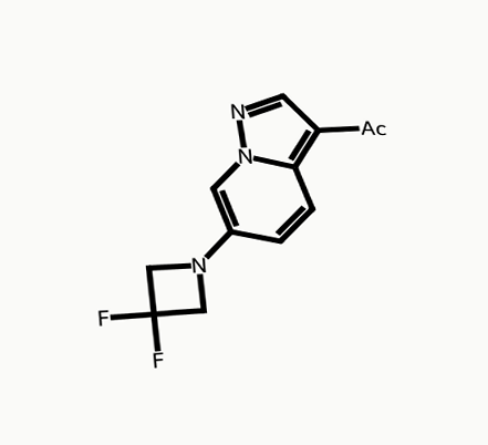 CC(=O)c1cnn2cc(N3CC(F)(F)C3)ccc12